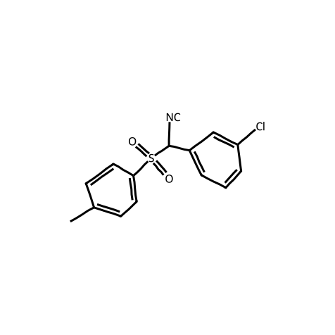 [C-]#[N+]C(c1cccc(Cl)c1)S(=O)(=O)c1ccc(C)cc1